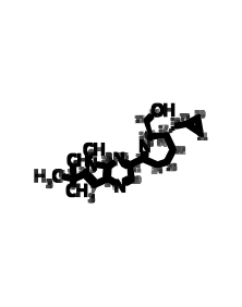 Cn1c(C(C)(C)C)cc2ncc(C3=N[C@@H](CO)[C@H](CC4CC4)CCC3)nc21